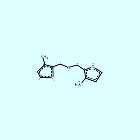 Cc1ccoc1COCc1occc1C